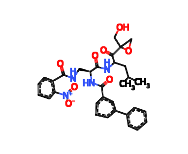 CC(C)CC(NC(=O)[C@H](CNC(=O)c1ccccc1[N+](=O)[O-])NC(=O)c1cccc(-c2ccccc2)c1)C(=O)C1(CO)CO1